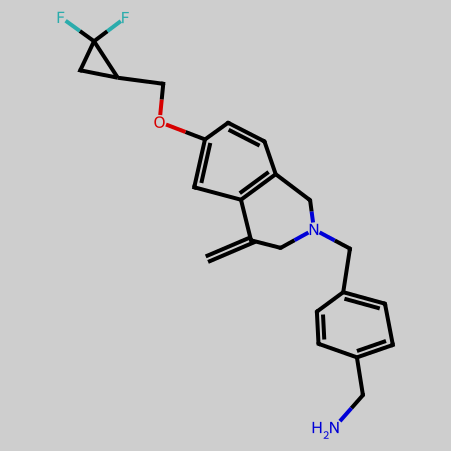 C=C1CN(Cc2ccc(CN)cc2)Cc2ccc(OCC3CC3(F)F)cc21